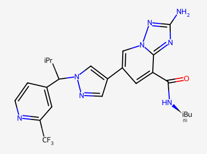 CC[C@H](C)NC(=O)c1cc(-c2cnn(C(c3ccnc(C(F)(F)F)c3)C(C)C)c2)cn2nc(N)nc12